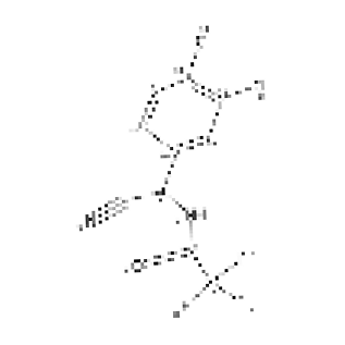 N#CC(NC(=O)C(F)(F)F)c1ccc(Cl)c(Cl)c1